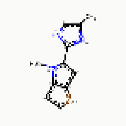 Cc1c[nH]c(-c2cc3sccc3n2C)n1